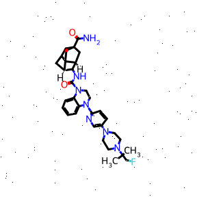 CC(C)(CF)N1CCN(c2ccc(N3CCN(C(=O)NC4[C@@H]5CC6C[C@H]4CC(C(N)=O)(C6)C5)c4ccccc43)nc2)CC1